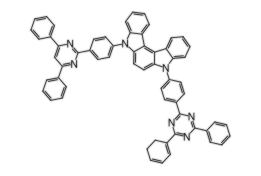 C1=CCCC(c2nc(-c3ccccc3)nc(-c3ccc(-n4c5ccccc5c5c6c7ccccc7n(-c7ccc(-c8nc(-c9ccccc9)cc(-c9ccccc9)n8)cc7)c6ccc54)cc3)n2)=C1